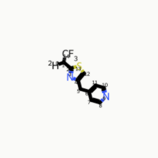 [2H]C(c1nc(Cc2ccncc2)cs1)C(F)(F)F